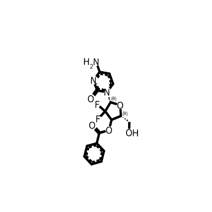 Nc1ccn([C@@H]2O[C@H](CO)C(OC(=O)c3ccccc3)C2(F)F)c(=O)n1